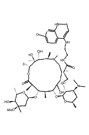 C=C1NCC=C(NCCNC(=O)CCO[C@H]2[C@H](O[C@@H]3[C@@H](C)[C@H](O[C@H]4C[C@@](C)(OC)[C@@H](O)[C@H](C)O4)[C@@H](C)C(=O)O[C@H](CC)[C@@](C)(O)[C@H](O)[C@@H](C)N(C)C[C@H](C)C[C@@]3(C)O)O[C@H](C)C[C@@H]2N(C)C)/C1=C/C=C(\C)Cl